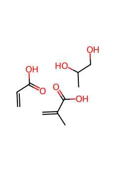 C=C(C)C(=O)O.C=CC(=O)O.CC(O)CO